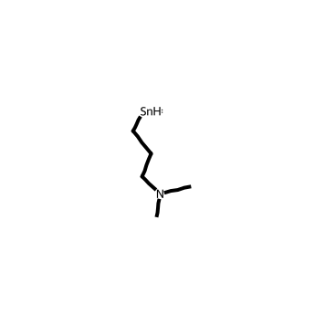 CN(C)CC[CH2][SnH]